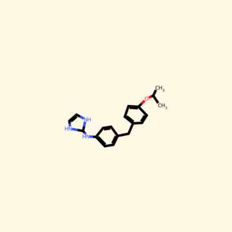 CC(C)Oc1ccc(Cc2ccc(NC3NC=CN3)cc2)cc1